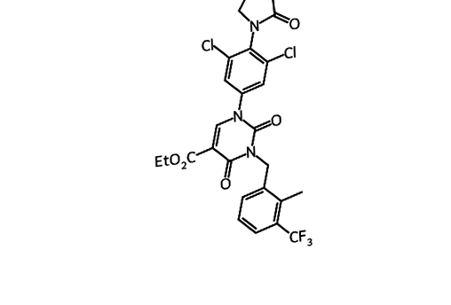 CCOC(=O)c1cn(-c2cc(Cl)c(N3CCNC3=O)c(Cl)c2)c(=O)n(Cc2cccc(C(F)(F)F)c2C)c1=O